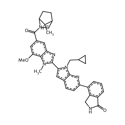 COc1cc(C(=O)N2CC3CCC2[C@@H]3C)cc2nc(-c3cc4ccc(-c5cccc6c5CNC6=O)nc4n3CC3CC3)n(C)c12